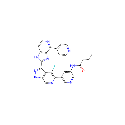 CCCC(=O)Nc1cncc(-c2ncc3[nH]nc(-c4nc5c(-c6ccncc6)nccc5[nH]4)c3c2F)c1